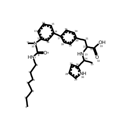 CCCCCCCNC(=O)N(C)c1cccc(-c2ccc(CC(NC(C)c3ccc[nH]3)C(=O)O)cc2)c1